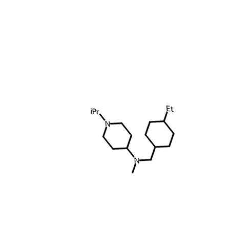 CCC1CCC(CN(C)C2CCN(C(C)C)CC2)CC1